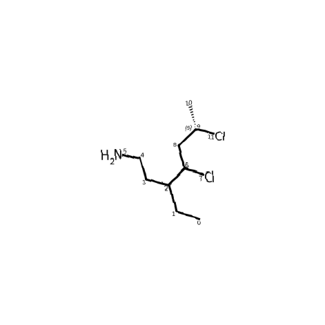 CCC(CCN)C(Cl)C[C@H](C)Cl